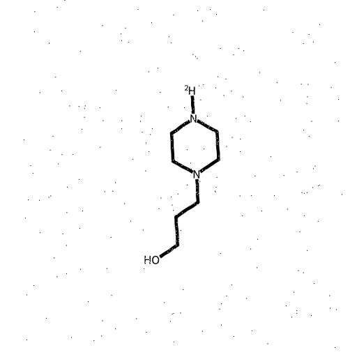 [2H]N1CCN(CCCO)CC1